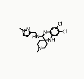 CN1CCC2(CC1)Nc1cc(Cl)c(Cl)cc1N=C2NCc1ccn(C)n1